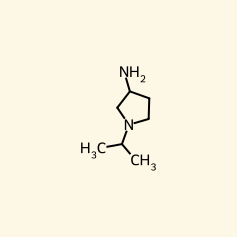 CC(C)N1CCC(N)C1